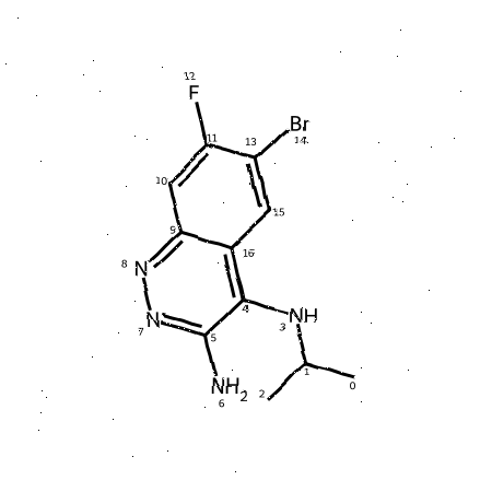 CC(C)Nc1c(N)nnc2cc(F)c(Br)cc12